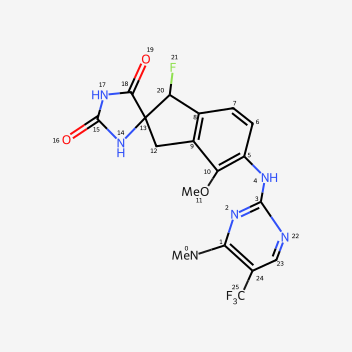 CNc1nc(Nc2ccc3c(c2OC)CC2(NC(=O)NC2=O)C3F)ncc1C(F)(F)F